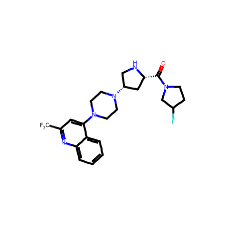 O=C([C@@H]1C[C@H](N2CCN(c3cc(C(F)(F)F)nc4ccccc34)CC2)CN1)N1CCC(F)C1